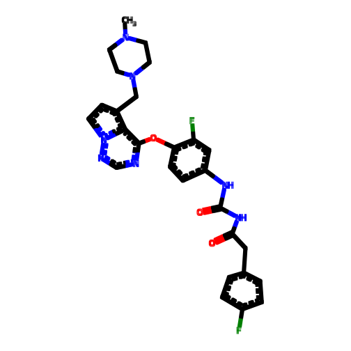 CN1CCN(Cc2ccn3ncnc(Oc4ccc(NC(=O)NC(=O)Cc5ccc(F)cc5)cc4F)c23)CC1